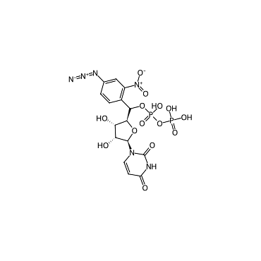 [N-]=[N+]=Nc1ccc(C(OP(=O)(O)OP(=O)(O)O)[C@H]2O[C@@H](n3ccc(=O)[nH]c3=O)[C@H](O)[C@@H]2O)c([N+](=O)[O-])c1